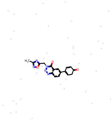 Cc1noc(Cn2nnc3ccc(C4=CCC(=O)C=C4)cc3c2=O)n1